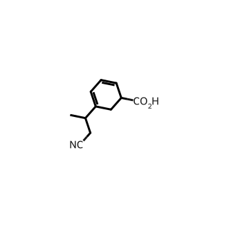 CC(CC#N)C1=CC=CC(C(=O)O)C1